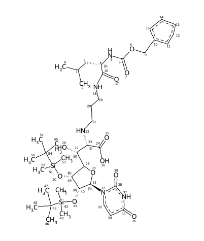 CC(C)C[C@H](NC(=O)OCc1ccccc1)C(=O)NCCCN[C@H](C(=O)O)[C@@H](O)C1O[C@@H](n2ccc(=O)[nH]c2=O)[C@H](O[Si](C)(C)C(C)(C)C)[C@@H]1O[Si](C)(C)C(C)(C)C